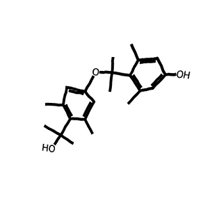 Cc1cc(OC(C)(C)c2c(C)cc(O)cc2C)cc(C)c1C(C)(C)O